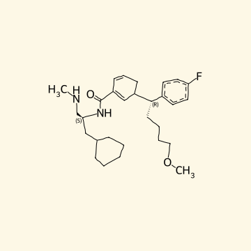 CNC[C@H](CC1CCCCC1)NC(=O)C1=CC([C@@H](CCCCOC)c2ccc(F)cc2)CC=C1